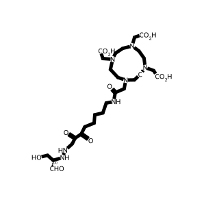 O=C[C@H](CO)NNCC(=O)C(=O)CCCCCNC(=O)CN1CCN(CC(=O)O)CCN(CC(=O)O)CCN(CC(=O)O)CC1